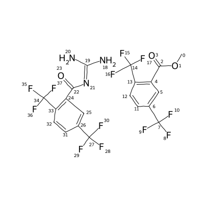 COC(=O)c1cc(C(F)(F)F)ccc1C(F)(F)F.NC(N)=NC(=O)c1cc(C(F)(F)F)ccc1C(F)(F)F